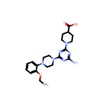 CCOc1ccccc1N1CCN(c2nc(N)nc(N3CCC(C(=O)O)CC3)n2)CC1